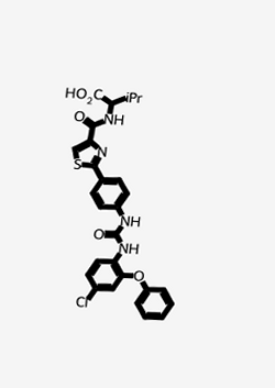 CC(C)C(NC(=O)c1csc(-c2ccc(NC(=O)Nc3ccc(Cl)cc3Oc3ccccc3)cc2)n1)C(=O)O